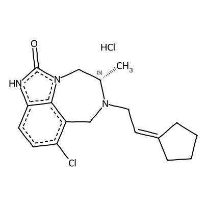 C[C@H]1Cn2c(=O)[nH]c3ccc(Cl)c(c32)CN1CC=C1CCCC1.Cl